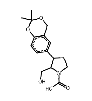 CC1(C)OCc2cc(C3CCN(C(=O)O)C3CO)ccc2O1